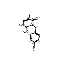 COC1NC=C(I)C(=O)N1Cc1ccc(F)cc1